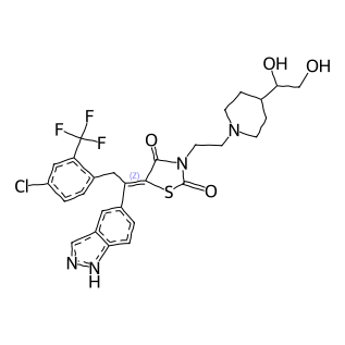 O=C1S/C(=C(/Cc2ccc(Cl)cc2C(F)(F)F)c2ccc3[nH]ncc3c2)C(=O)N1CCN1CCC(C(O)CO)CC1